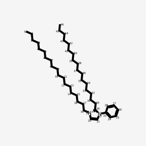 CCCCCCCCCCCCCCCCCCC[n+]1ccn(-c2ccccc2)c1CCCCCCCCCCCCCCCCC